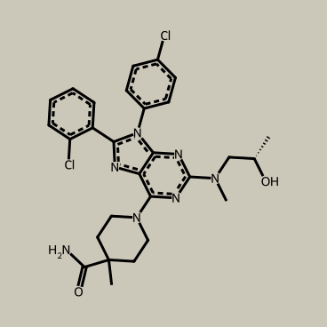 C[C@H](O)CN(C)c1nc(N2CCC(C)(C(N)=O)CC2)c2nc(-c3ccccc3Cl)n(-c3ccc(Cl)cc3)c2n1